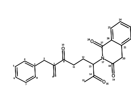 C=C(Cc1ccccc1)C(=O)CCC(C(C)=O)N1C(=O)Cc2ccccc2C1=O